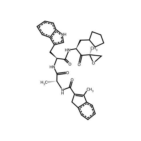 CC1=C(C(=O)N[C@H](C)C(=O)N[C@@H](Cc2c[nH]c3ccccc23)C(=O)N[C@@H](CC2CCCC2)C(=O)[C@@]2(C)CO2)Cc2ccccc21